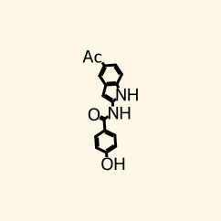 CC(=O)c1ccc2[nH]c(NC(=O)c3ccc(O)cc3)cc2c1